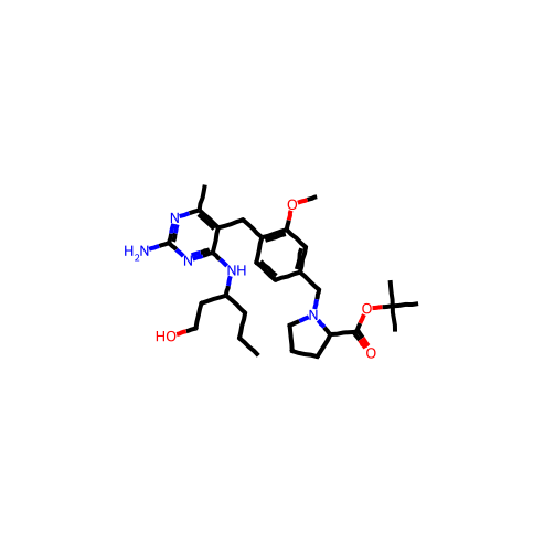 CCCC(CCO)Nc1nc(N)nc(C)c1Cc1ccc(CN2CCCC2C(=O)OC(C)(C)C)cc1OC